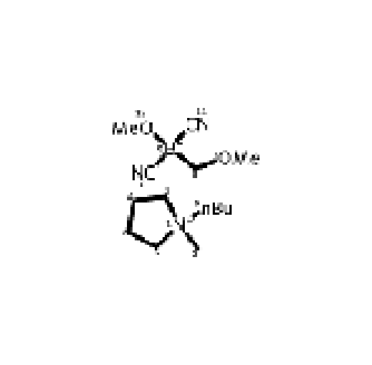 CCCC[N+]1(C)CCCC1.COC[B-](C#N)(C#N)OC